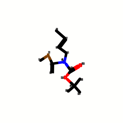 C=C(SC)N(C/C=C/C)C(=O)OC(C)(C)C